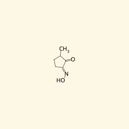 CC1CCC(=NO)C1=O